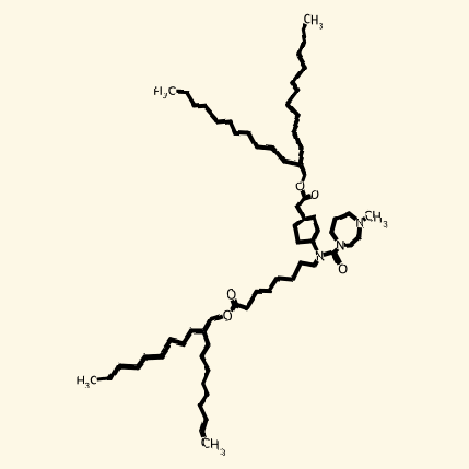 CCCCCCCCCCCC(CCCCCCCCCCC)COC(=O)CC1CCC(N(CCCCCCCC(=O)OCC(CCCCCCCCC)CCCCCCCCC)C(=O)N2CCCN(C)CC2)CC1